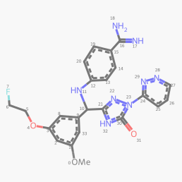 COc1cc(OCCF)cc(C(Nc2ccc(C(=N)N)cc2)c2nn(-c3cccnn3)c(=O)[nH]2)c1